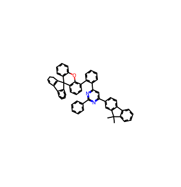 CC1(C)c2ccccc2-c2ccc(-c3cc(-c4ccccc4-c4cccc5c4Oc4ccccc4C54C5=C(C=CCC5)c5ccccc54)nc(-c4ccccc4)n3)cc21